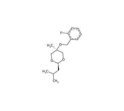 CC(C)C[C@H]1OC[C@@](C)(OCc2ccccc2F)CO1